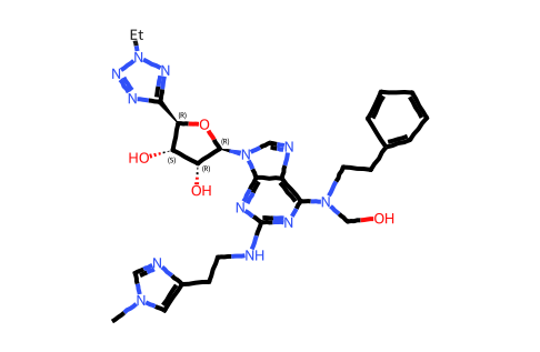 CCn1nnc([C@H]2O[C@@H](n3cnc4c(N(CO)CCc5ccccc5)nc(NCCc5cn(C)cn5)nc43)[C@H](O)[C@@H]2O)n1